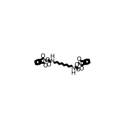 O=C(NCCCCCCCCNC(=O)ON1C(=O)C2C3C=CC(C3)C2C1=O)ON1C(=O)C2C3C=CC(C3)C2C1=O